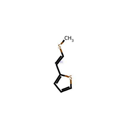 CS/C=C/c1cccs1